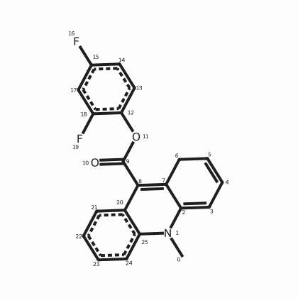 CN1C2=CC=CCC2=C(C(=O)Oc2ccc(F)cc2F)c2ccccc21